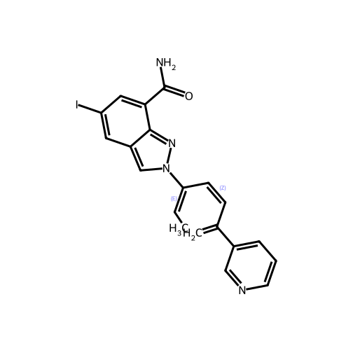 C=C(/C=C\C(=C/C)n1cc2cc(I)cc(C(N)=O)c2n1)c1cccnc1